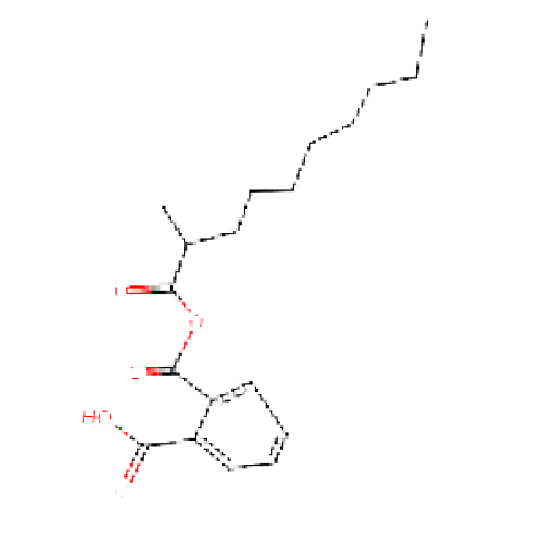 CCCCCCCCC(C)C(=O)OC(=O)c1ccccc1C(=O)O